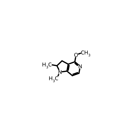 COc1nccc2c1CC(C)N2C